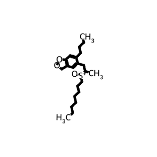 CCCCCCCC[S+]([O-])C(C)Cc1cc2c(cc1CCCC)OOC2